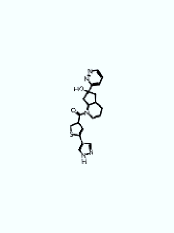 O=C(C1C=C(c2cn[nH]c2)SC1)N1CCCC2CC(O)(c3cccnn3)CC21